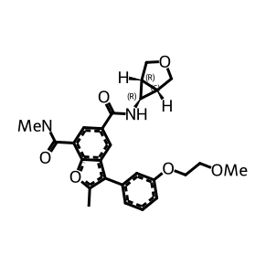 CNC(=O)c1cc(C(=O)N[C@H]2[C@@H]3COC[C@@H]32)cc2c(-c3cccc(OCCOC)c3)c(C)oc12